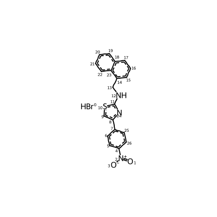 Br.O=[N+]([O-])c1ccc(-c2csc(NCc3cccc4ccccc34)n2)cc1